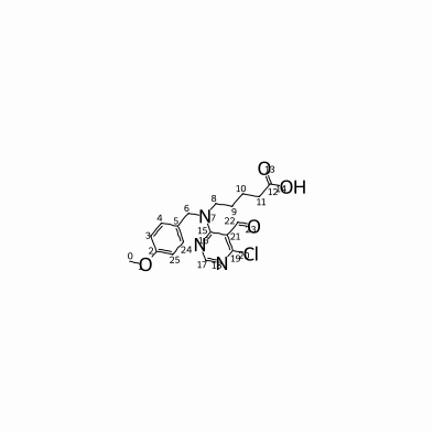 COc1ccc(CN(CCCCC(=O)O)c2ncnc(Cl)c2C=O)cc1